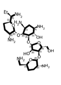 CC[C@@H](N)[C@@H]1CC[C@@H](N)[C@@H](O[C@H]2[C@H](O[C@@H]3O[C@H](CO)[C@@H](O[C@H]4O[C@H](CN)CC[C@H]4N)[C@H]3O)[C@@H](O)[C@H](N)C[C@@H]2N)O1